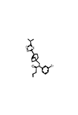 CCCC(=O)N(CC12CCC(c3noc(C(C)C)n3)=C(C1)C2)c1cccc(Br)c1